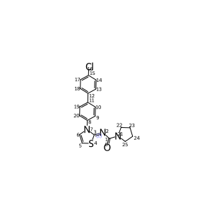 O=C(/N=c1\sccn1-c1ccc(-c2ccc(Cl)cc2)cc1)N1CCCC1